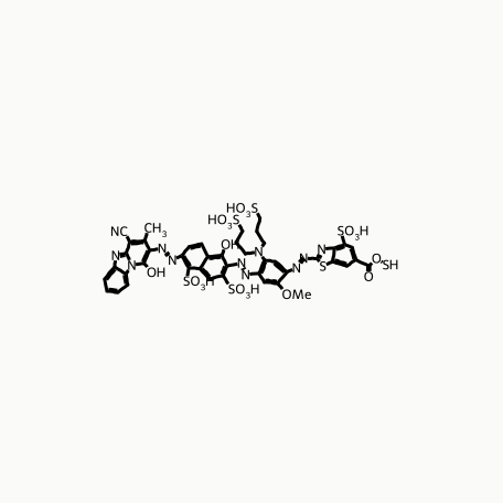 COc1cc(N=Nc2c(S(=O)(=O)O)cc3c(S(=O)(=O)O)c(N=Nc4c(C)c(C#N)c5nc6ccccc6n5c4O)ccc3c2O)c(N(CCCS(=O)(=O)O)CCCS(=O)(=O)O)cc1N=Nc1nc2c(S(=O)(=O)O)cc(C(=O)OS)cc2s1